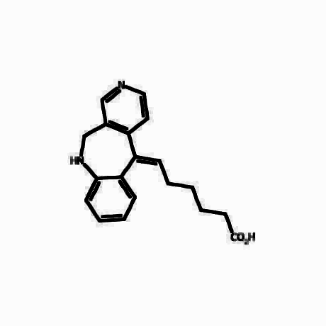 O=C(O)CCCCC=C1c2ccncc2CNc2ccccc21